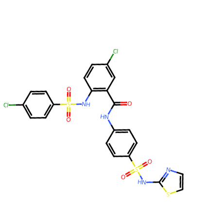 O=C(Nc1ccc(S(=O)(=O)Nc2nccs2)cc1)c1cc(Cl)ccc1NS(=O)(=O)c1ccc(Cl)cc1